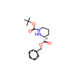 CC(C)(C)OC(=O)N1CCC[C@H](C(=O)OCc2ccccc2)N1